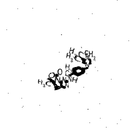 C[C@@H](Nc1nccc(N2C(=O)OCC2(C)C2CC2)n1)c1ccc(CN2CCN(C)C(C)(C)C2)cc1